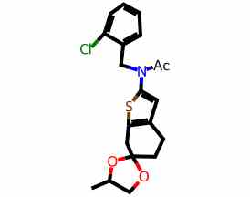 CC(=O)N(Cc1ccccc1Cl)c1cc2c(s1)CC1(CC2)OCC(C)O1